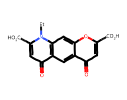 CCn1c(C(=O)O)cc(=O)c2cc3c(=O)cc(C(=O)O)oc3cc21